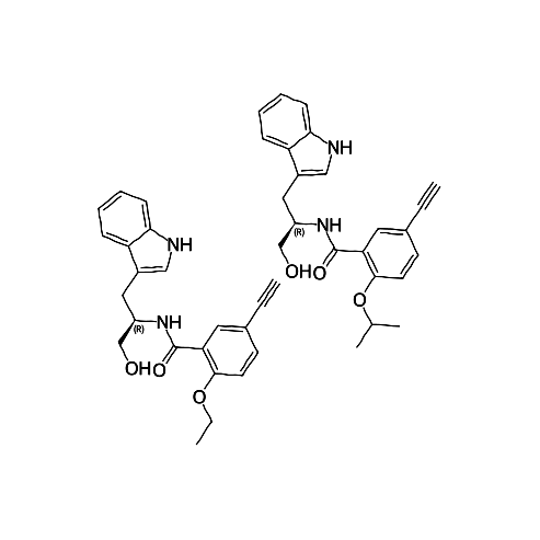 C#Cc1ccc(OC(C)C)c(C(=O)N[C@@H](CO)Cc2c[nH]c3ccccc23)c1.C#Cc1ccc(OCC)c(C(=O)N[C@@H](CO)Cc2c[nH]c3ccccc23)c1